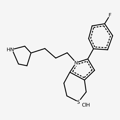 Cl.Fc1ccc(-c2cc3c(n2CCCC2CCNC2)CCSC3)cc1